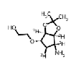 [2H]C1[C@H](OCCO)[C@@]2([2H])OC(C)(C)O[C@@]2([2H])[C@]1([2H])N